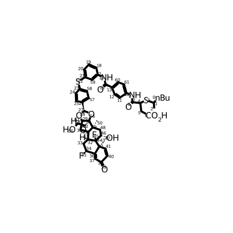 CCCCC(C)SC(CC(=O)O)C(=O)Nc1ccc(C(=O)Nc2cccc(Sc3ccc([C@@H]4O[C@@H]5CC6[C@@H]7C[C@H](F)C8=CC(=O)C=C[C@]8(C)[C@@]7(F)[C@@H](O)C[C@]6(C)[C@]5(C(=O)CO)O4)cc3)c2)cc1